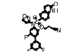 N#CCCOc1cc(-c2cc(F)cc(F)c2)c(F)cc1N(c1ccon1)S(=O)(=O)c1ccc2[nH]c(=O)ccc2c1